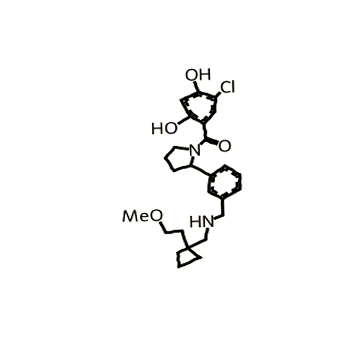 COCCC1(CNCc2cccc(C3CCCN3C(=O)c3cc(Cl)c(O)cc3O)c2)CCC1